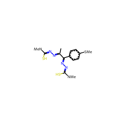 CN/C(S)=N/N=C(C)/C(=N/N=C(\S)NC)c1ccc(SC)cc1